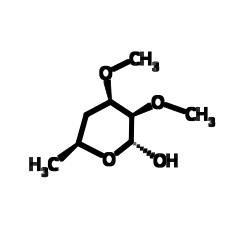 CO[C@H]1[C@H](O)O[C@@H](C)C[C@H]1OC